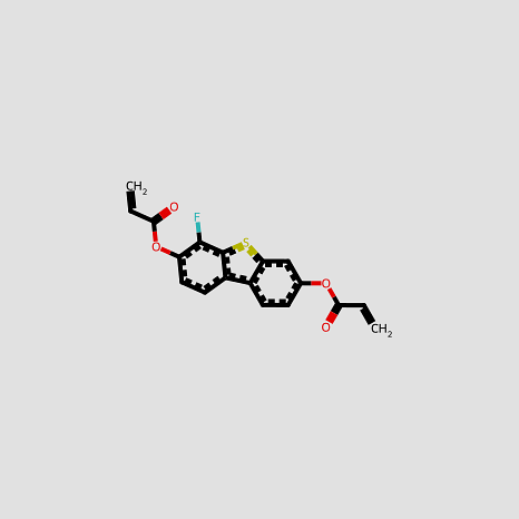 C=CC(=O)Oc1ccc2c(c1)sc1c(F)c(OC(=O)C=C)ccc12